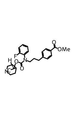 COC(=O)c1ccc(CCCN(C(=O)O[C@H]2CN3CCC2CC3)c2ccccc2F)cc1